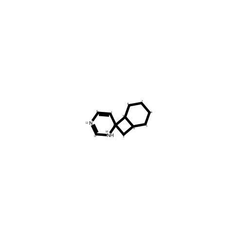 C1=CC2(CC3CCCCC32)NC=N1